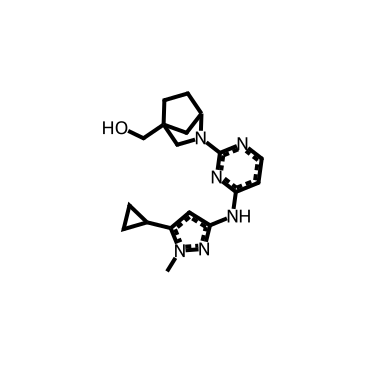 Cn1nc(Nc2ccnc(N3CC4(CO)CCC3C4)n2)cc1C1CC1